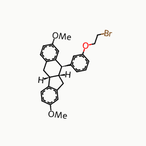 COc1ccc2c(c1)C[C@H]1[C@H](c3cccc(OCCBr)c3)c3cc(OC)ccc3C[C@@H]21